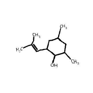 CC(C)=CC1CC(C)CC(C)C1O